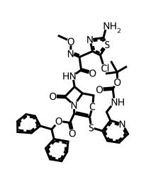 CON=C(C(=O)NC1C(=O)N2C(C(=O)OC(c3ccccc3)c3ccccc3)=C(Sc3cccnc3CNC(=O)OC(C)(C)C)CCC12)c1nc(N)sc1Cl